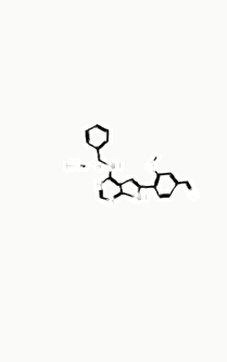 COc1cc(C=O)ccc1-c1cc2c(N[C@H](CO)c3ccccc3)ncnc2[nH]1